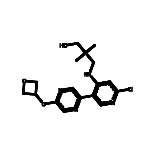 CC(C)(CO)CNc1cc(Cl)ncc1-c1cnc(OC2COC2)cn1